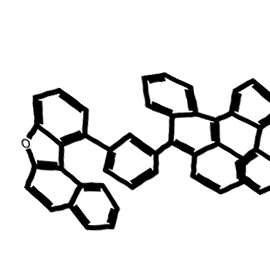 c1ccc(-c2ccccc2-c2c3ccccc3c(-c3cccc(-c4cccc5oc6ccc7ccccc7c6c45)c3)c3ccccc23)cc1